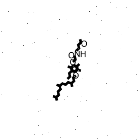 CCCc1c(C)c(OCC(=O)NCCCC(C)=O)c(C)c(C)c1OCCC(C)CCCC(C)CCCC(C)C